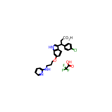 O=C(O)C(F)(F)F.O=C(O)CC(c1ccc(Cl)cc1)c1c[nH]c2cc(OCCCNc3ccccn3)ccc12